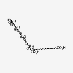 CC(C)N[C@@H](CCCCNC(=O)COCCOCCNC(=O)COCCOCCNC(=O)CCC(NC(=O)CCCCCCCCCCCCCCCCCCC(=O)O)C(=O)O)C(=O)C(C)(C)C